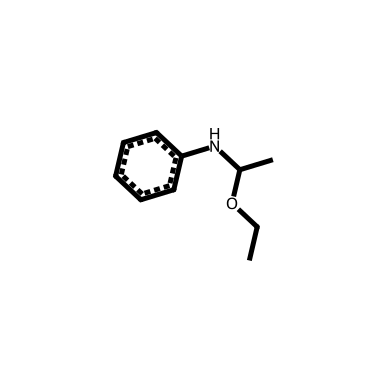 CCOC(C)Nc1ccccc1